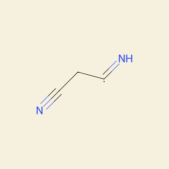 N#CC[C]=N